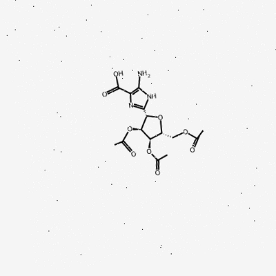 CC(=O)OC[C@H]1O[C@@H](c2nc(C(=O)O)c(N)[nH]2)[C@H](OC(C)=O)[C@@H]1OC(C)=O